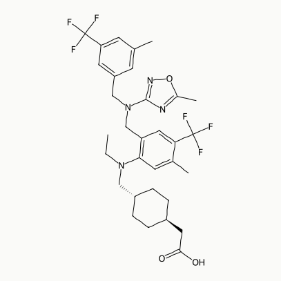 CCN(C[C@H]1CC[C@H](CC(=O)O)CC1)c1cc(C)c(C(F)(F)F)cc1CN(Cc1cc(C)cc(C(F)(F)F)c1)c1noc(C)n1